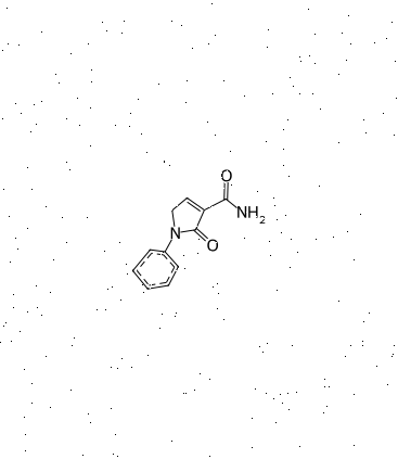 NC(=O)C1=CCN(c2ccccc2)C1=O